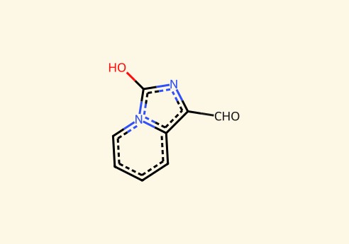 O=Cc1nc(O)n2ccccc12